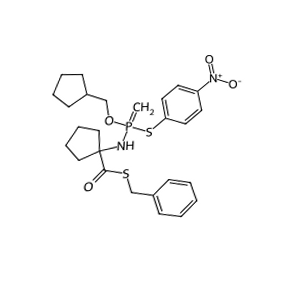 C=P(NC1(C(=O)SCc2ccccc2)CCCC1)(OCC1CCCC1)Sc1ccc([N+](=O)[O-])cc1